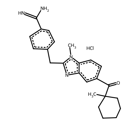 Cl.Cn1c(Cc2ccc(C(=N)N)cc2)nc2cc(C(=O)C3(C)CCCCC3)ccc21